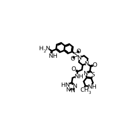 CC1Cc2nc(C(=O)N3CCN(S(=O)(=O)c4ccc5ccc(C(=N)N)cc5c4)CC3CC(=O)NCc3nnn[nH]3)sc2CN1